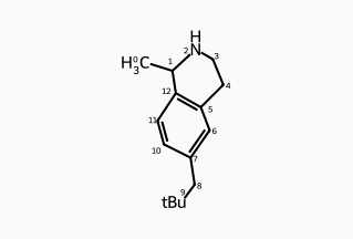 CC1NCCc2cc(CC(C)(C)C)ccc21